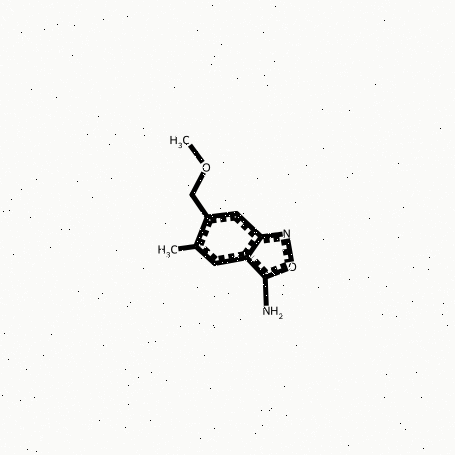 COCc1cc2noc(N)c2cc1C